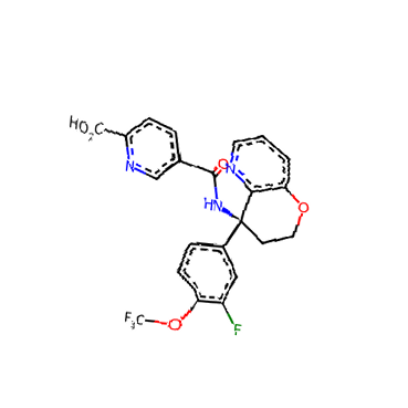 O=C(N[C@]1(c2ccc(OC(F)(F)F)c(F)c2)CCOc2cccnc21)c1ccc(C(=O)O)nc1